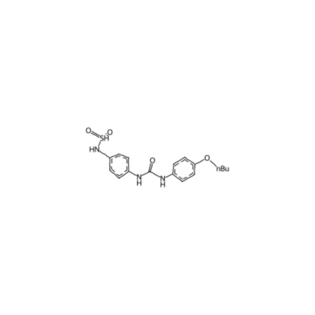 CCCCOc1ccc(NC(=O)Nc2ccc(N[SH](=O)=O)cc2)cc1